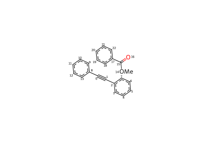 C(#Cc1ccccc1)c1ccccc1.COC(=O)c1ccccc1